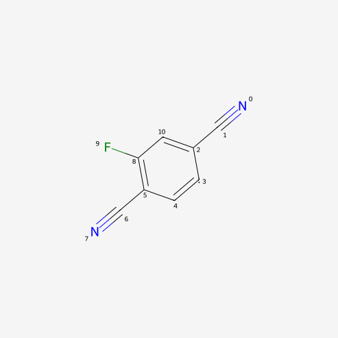 N#Cc1[c]cc(C#N)c(F)c1